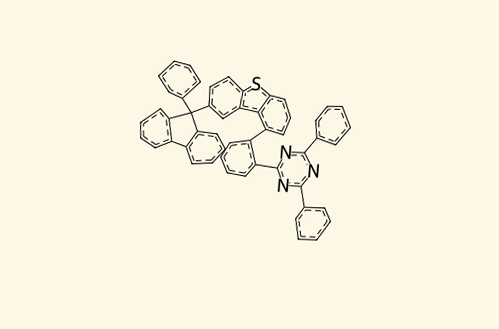 c1ccc(-c2nc(-c3ccccc3)nc(-c3ccccc3-c3cccc4sc5ccc(C6(c7ccccc7)c7ccccc7-c7ccccc76)cc5c34)n2)cc1